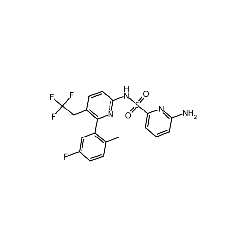 Cc1ccc(F)cc1-c1nc(NS(=O)(=O)c2cccc(N)n2)ccc1CC(F)(F)F